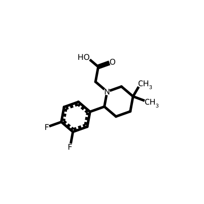 CC1(C)CCC(c2ccc(F)c(F)c2)N(CC(=O)O)C1